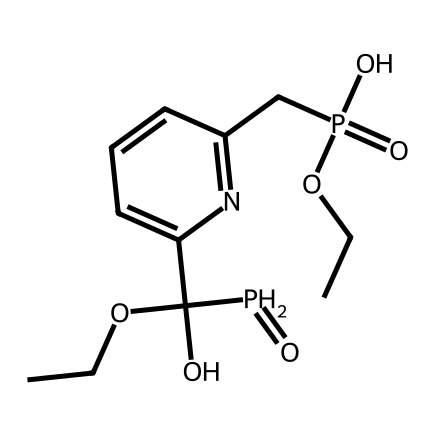 CCOC(O)([PH2]=O)c1cccc(CP(=O)(O)OCC)n1